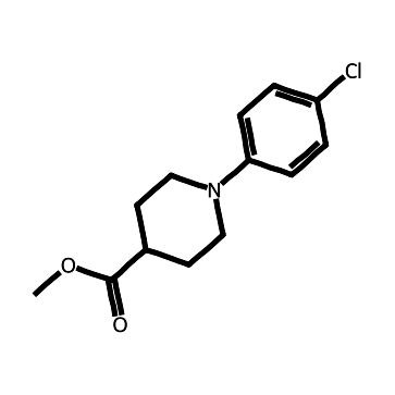 COC(=O)C1CCN(c2ccc(Cl)cc2)CC1